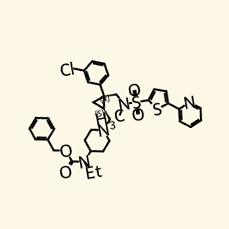 CCN(C(=O)OCc1ccccc1)C1CCN(C[C@H]2C[C@]2(CN(C)S(=O)(=O)c2ccc(-c3ccccn3)s2)c2cccc(Cl)c2)CC1